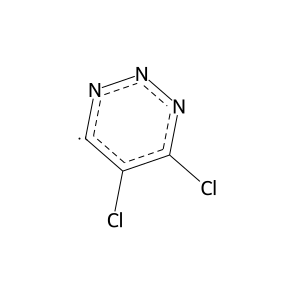 Clc1[c]nnnc1Cl